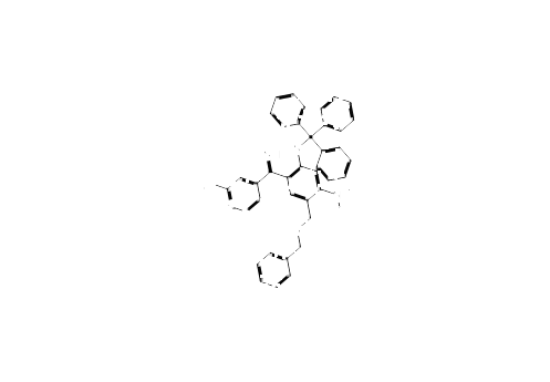 Cc1cc(C(=N)c2cc(CNCc3ccccc3)c([N+](=O)[O-])cc2NC(c2ccccc2)(c2ccccc2)c2ccccc2)ccn1